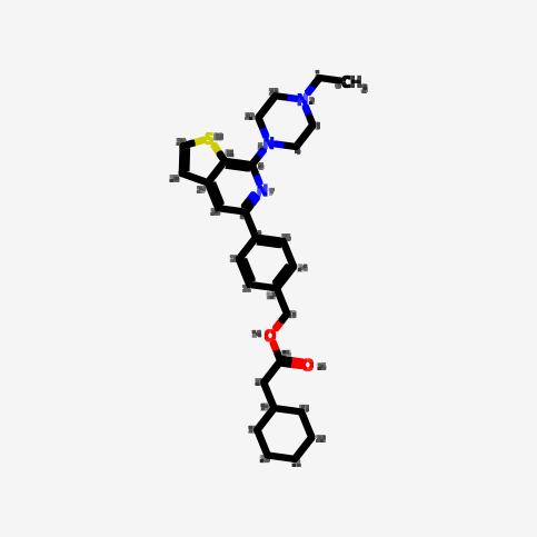 CCN1CCN(c2nc(-c3ccc(COC(=O)CC4CCCCC4)cc3)cc3ccsc23)CC1